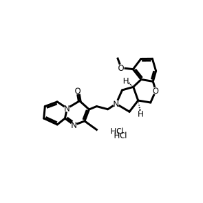 COc1cccc2c1[C@@H]1CN(CCc3c(C)nc4ccccn4c3=O)C[C@@H]1CO2.Cl.Cl